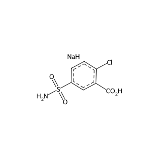 NS(=O)(=O)c1ccc(Cl)c(C(=O)O)c1.[NaH]